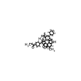 C=CC(=O)N1CCC(n2nc(N3CCN(C4CCOCC4)C[C@]3(C)C(F)F)c(-c3c(Cl)c(C)cc4[nH]ncc34)c2C)CC1